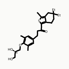 CCC1(CC)CCc2c(C(=O)CCc3cc(C)c(OC[C@H](O)CO)c(C)c3)sc(C)c2C1